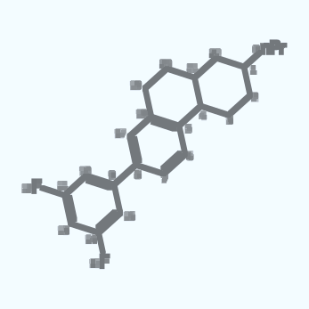 CCCC1CCC2c3ccc(-c4cc(F)cc(F)c4)cc3CCC2C1